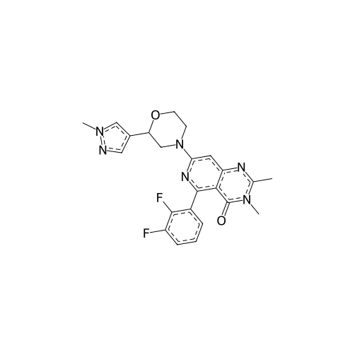 Cc1nc2cc(N3CCOC(c4cnn(C)c4)C3)nc(-c3cccc(F)c3F)c2c(=O)n1C